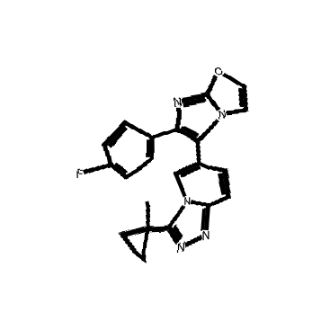 CC1(c2nnc3ccc(-c4c(-c5ccc(F)cc5)nc5occn45)cn23)CC1